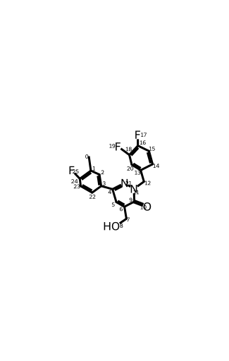 Cc1cc(-c2cc(CO)c(=O)n(Cc3ccc(F)c(F)c3)n2)ccc1F